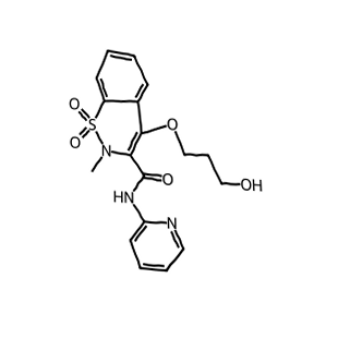 CN1C(C(=O)Nc2ccccn2)=C(OCCCO)c2ccccc2S1(=O)=O